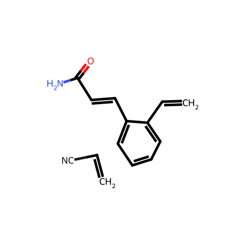 C=CC#N.C=Cc1ccccc1C=CC(N)=O